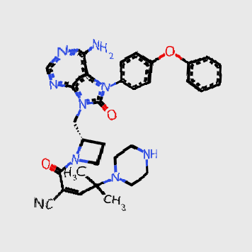 CC(C)(/C=C(/C#N)C(=O)N1CC[C@H]1Cn1c(=O)n(-c2ccc(Oc3ccccc3)cc2)c2c(N)ncnc21)N1CCNCC1